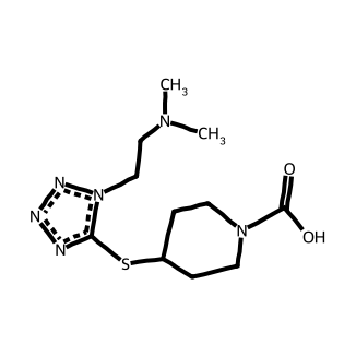 CN(C)CCn1nnnc1SC1CCN(C(=O)O)CC1